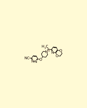 C[C@@H](c1ccc2c(n1)OCCO2)N1CCC(Oc2ccc(C#N)nn2)CC1